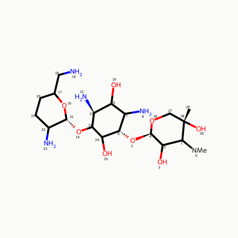 CNC1C(O)[C@@H](O[C@H]2C(N)C(O)[C@H](N)C(O[C@H]3OC(CN)CCC3N)C2O)OC[C@]1(C)O